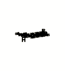 C=CCCC[Si@H]1CC[C@H](CCC2CCC(c3ccc(-c4ccc(OCC)c(F)c4)cc3)CC2)CC1